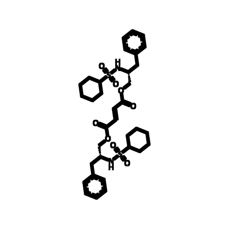 O=C(/C=C/C(=O)OC[C@@H](Cc1ccccc1)NS(=O)(=O)C1CCCCC1)OC[C@@H](Cc1ccccc1)NS(=O)(=O)C1CCCCC1